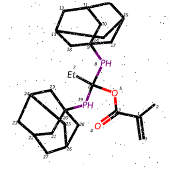 C=C(C)C(=O)OC(CC)(PC12CC3CC(CC(C3)C1)C2)PC12CC3CC(CC(C3)C1)C2